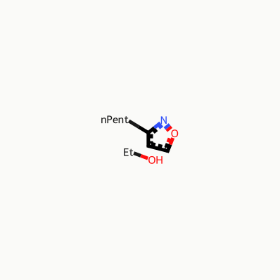 CCCCCc1ccon1.CCO